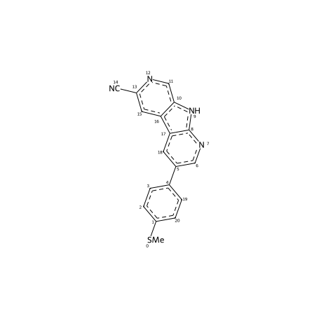 CSc1ccc(-c2cnc3[nH]c4cnc(C#N)cc4c3c2)cc1